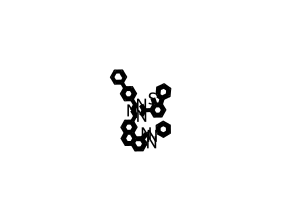 C1=CC(c2ccc(-c3nc(-c4ccc5ccc6ccc7nn(-c8ccccc8)nc7c6c5c4)nc(-c4cccc5c4sc4ccccc45)n3)cc2)=CCC1